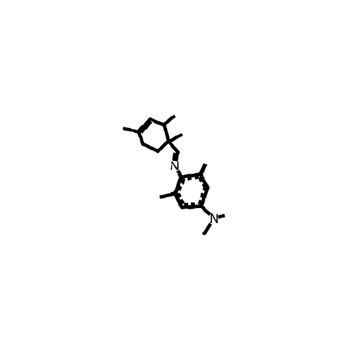 CC1=CC(C)C(C)(C=Nc2c(C)cc(N(C)C)cc2C)CC1